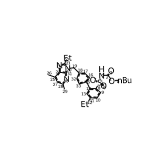 CCCCOC(=O)NS(=O)(=O)c1ccc(CC)cc1-c1ccc(Cn2c(CC)nc3c(C)cc(C)nc32)cc1